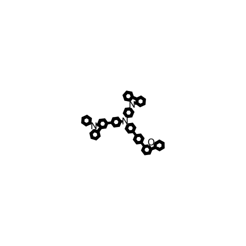 c1ccc(-n2c3ccccc3c3cc(-c4ccc(N(c5ccc(-c6ccc(-c7cccc8c7oc7ccccc78)cc6)cc5)c5ccc(-n6c7ccccc7c7ccccc76)cc5)cc4)ccc32)cc1